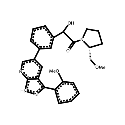 COC[C@H]1CCCN1C(=O)C(O)c1cccc(-c2cnc3[nH]nc(-c4ccccc4OC)c3c2)c1